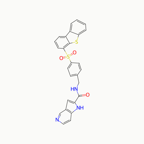 O=C(NCc1ccc(S(=O)(=O)c2cccc3c2sc2ccccc23)cc1)c1cc2cnccc2[nH]1